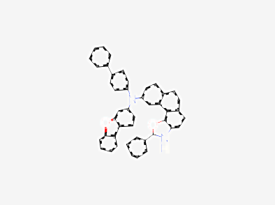 c1ccc(-c2ccc(N(c3ccc4c(c3)oc3ccccc34)c3ccc4ccc5ccc6c(c5c4c3)OC(c3ccccc3)N6)cc2)cc1